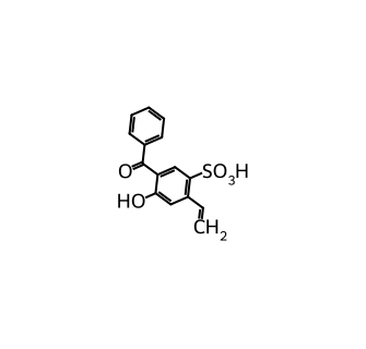 C=Cc1cc(O)c(C(=O)c2ccccc2)cc1S(=O)(=O)O